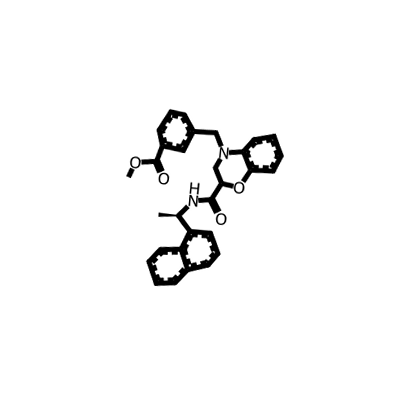 COC(=O)c1cccc(CN2CC(C(=O)N[C@H](C)c3cccc4ccccc34)Oc3ccccc32)c1